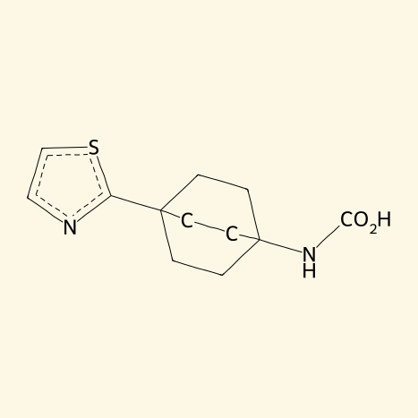 O=C(O)NC12CCC(c3nccs3)(CC1)CC2